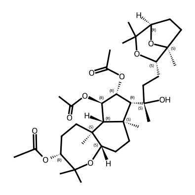 CC(=O)O[C@H]1[C@H](OC(C)=O)[C@H]([C@@](C)(O)CC[C@@H]2OC(C)(C)[C@H]3CC[C@]2(C)O3)[C@@]2(C)CC[C@@H]3OC(C)(C)[C@H](OC(C)=O)CC[C@@]3(C)[C@H]12